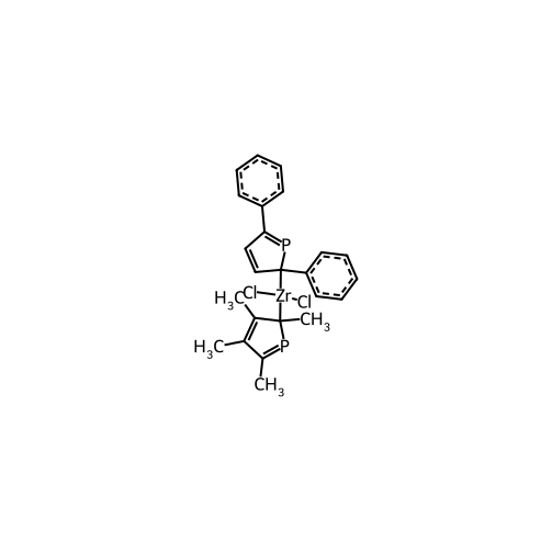 CC1=P[C](C)([Zr]([Cl])([Cl])[C]2(c3ccccc3)C=CC(c3ccccc3)=P2)C(C)=C1C